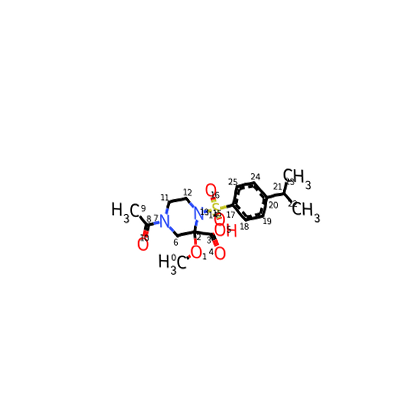 COC1(C(=O)O)CN(C(C)=O)CCN1S(=O)(=O)c1ccc(C(C)C)cc1